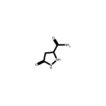 NC(=O)C1CC(=O)NN1